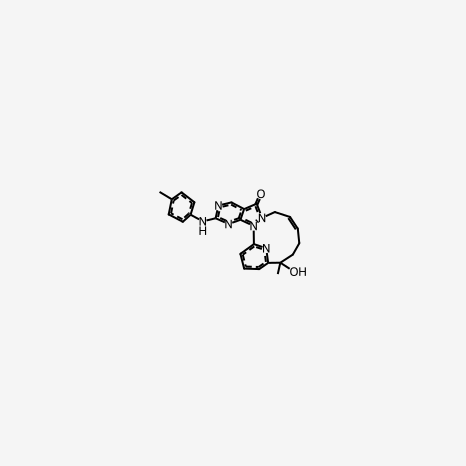 Cc1ccc(Nc2ncc3c(=O)n4n(c3n2)-c2cccc(n2)C(C)(O)CC/C=C\C4)cc1